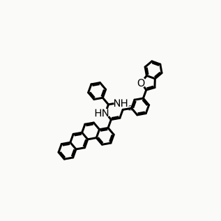 NC(N/C(=C\Cc1cccc(-c2cc3ccccc3o2)c1)c1cccc2c1ccc1cc3ccccc3cc12)c1ccccc1